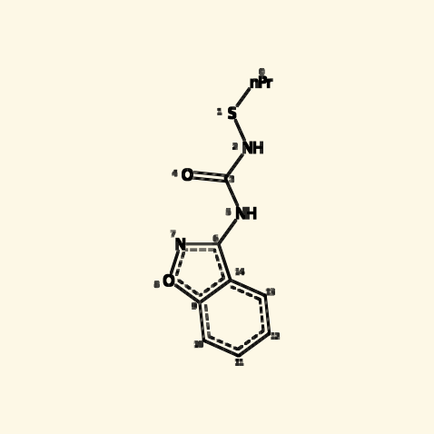 CCCSNC(=O)Nc1noc2ccccc12